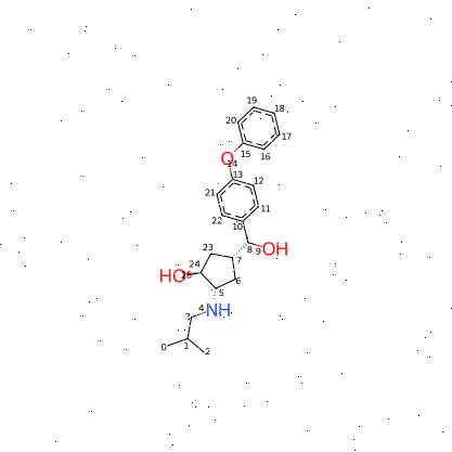 CC(C)CN[C@H]1C[C@@H](C(O)c2ccc(Oc3ccccc3)cc2)C[C@@H]1O